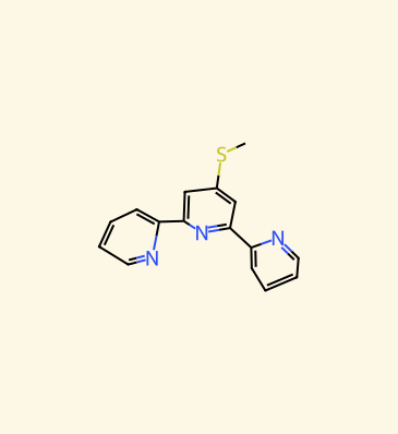 CSc1cc(-c2ccccn2)nc(-c2ccccn2)c1